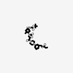 CCC(=O)OCc1cccc(N2CCN(C(=O)C3CN(c4cc(NC(=O)OC(C)(C)C)ccc4C)C(=O)O3)CC2)c1